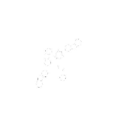 C1=CC(c2nc(-c3ccc4c(c3)sc3ccccc34)nc(-c3cccc4oc5cc(-c6ccc7c(c6)oc6ccccc67)ccc5c34)n2)CC=C1c1ccccc1